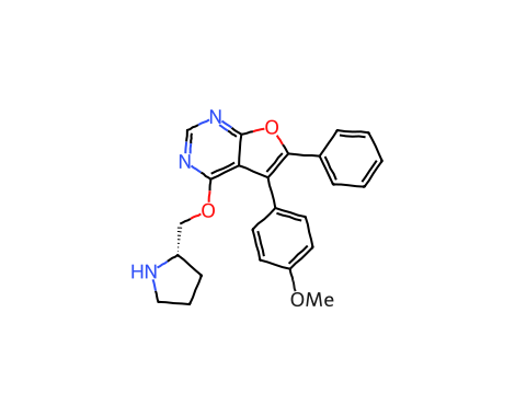 COc1ccc(-c2c(-c3ccccc3)oc3ncnc(OC[C@@H]4CCCN4)c23)cc1